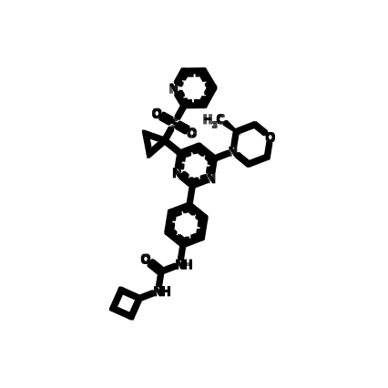 C[C@H]1COCCN1c1cc(C2(S(=O)(=O)c3ccccn3)CC2)nc(-c2ccc(NC(=O)NC3CCC3)cc2)n1